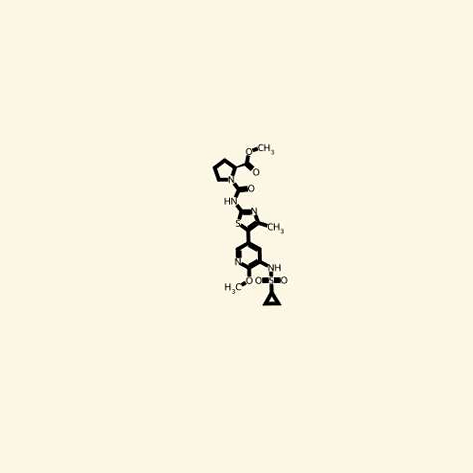 COC(=O)[C@@H]1CCCN1C(=O)Nc1nc(C)c(-c2cnc(OC)c(NS(=O)(=O)C3CC3)c2)s1